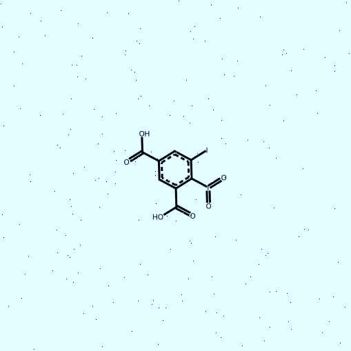 O=C(O)c1cc(I)c(I(=O)=O)c(C(=O)O)c1